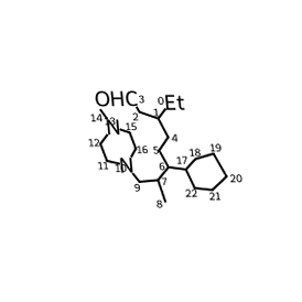 CCC(CC=O)CCC(C(C)CN1CCN(C)CC1)C1CCCCC1